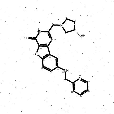 O=c1[nH]c(CN2CC[C@H](O)C2)nc2c1oc1ccc(NCc3ccccn3)cc12